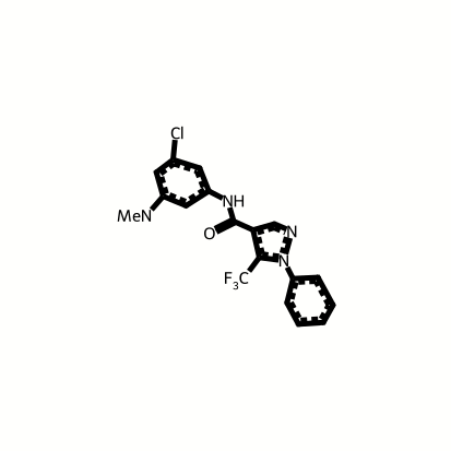 CNc1cc(Cl)cc(NC(=O)c2cnn(-c3ccccc3)c2C(F)(F)F)c1